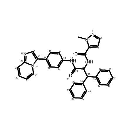 Cn1nccc1C(=O)NC(C(=O)Nc1ccc(-c2cnc3ccccn23)cc1)C(c1ccccc1)c1ccccc1